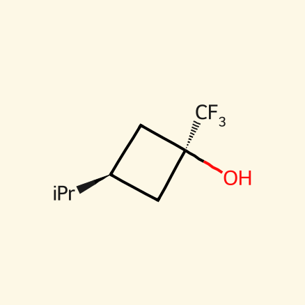 CC(C)[C@H]1C[C@](O)(C(F)(F)F)C1